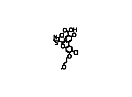 COCCCOc1cc2c(cc1Cl)-c1cc(=O)c(C(=O)O)cn1[C@H](c1scnc1Cl)O2